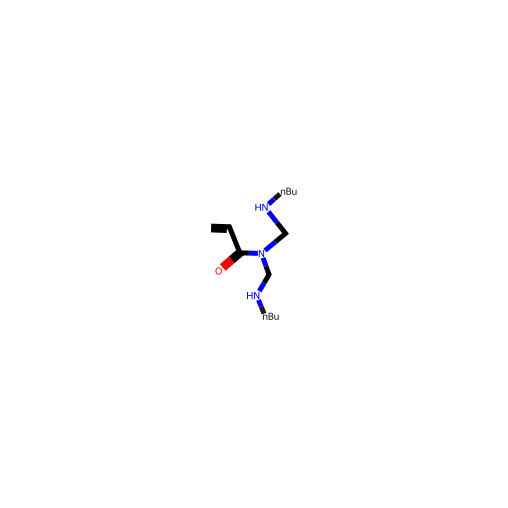 C=CC(=O)N(CNCCCC)CNCCCC